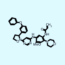 C=CC(=O)Nc1cc(Nc2cc(N3OCCC3c3cccc(Oc4ccccc4)c3)ncn2)c(OC)cc1N1CCOCC1